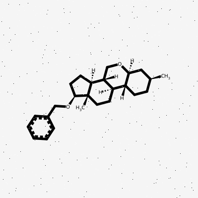 C[C@H]1CC[C@@H]2[C@H]3CC[C@]4(C)[C@@H](OCc5ccccc5)CC[C@H]4[C@@H]3CO[C@H]2C1